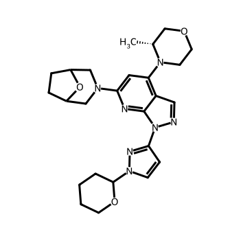 C[C@@H]1COCCN1c1cc(N2CC3CCC(C2)O3)nc2c1cnn2-c1ccn(C2CCCCO2)n1